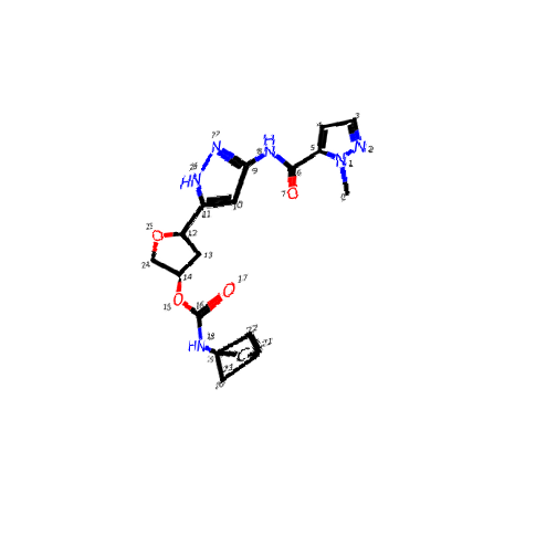 Cn1nccc1C(=O)Nc1cc(C2C[C@@H](OC(=O)NC34CC(C3)C4)CO2)[nH]n1